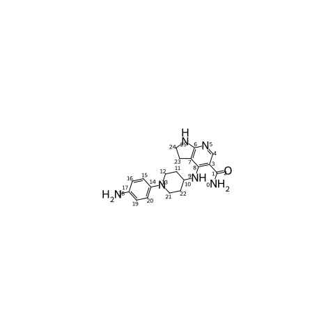 NC(=O)c1cnc2c(c1NC1CCN(c3ccc(N)cc3)CC1)CCN2